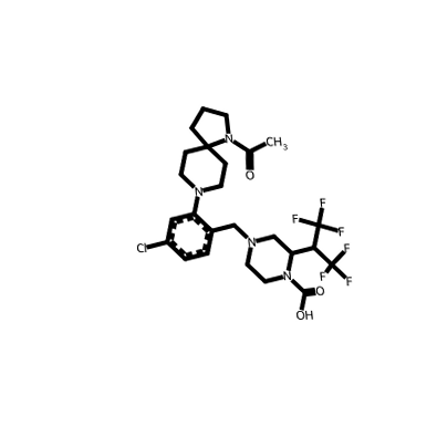 CC(=O)N1CCCC12CCN(c1cc(Cl)ccc1CN1CCN(C(=O)O)C(C(C(F)(F)F)C(F)(F)F)C1)CC2